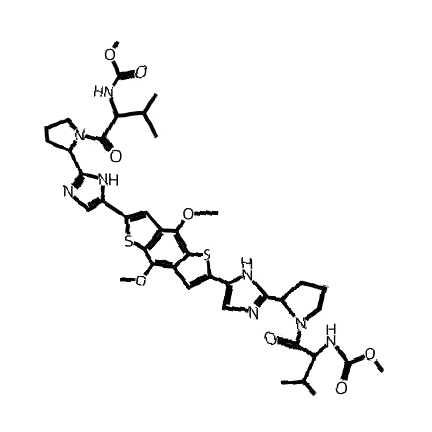 COC(=O)NC(C(=O)N1CCCC1c1ncc(-c2cc3c(OC)c4sc(-c5cnc(C6CCCN6C(=O)C(NC(=O)OC)C(C)C)[nH]5)cc4c(OC)c3s2)[nH]1)C(C)C